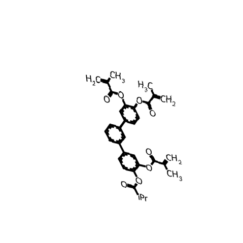 C=C(C)C(=O)Oc1ccc(-c2cccc(-c3ccc(OC(=O)C(C)C)c(OC(=O)C(=C)C)c3)c2)cc1OC(=O)C(=C)C